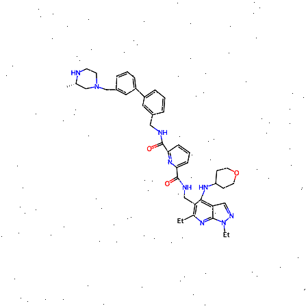 CCc1nc2c(cnn2CC)c(NC2CCOCC2)c1CNC(=O)c1cccc(C(=O)NCc2cccc(-c3cccc(CN4CCN[C@@H](C)C4)c3)c2)n1